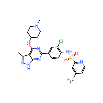 Cc1n[nH]c2nc(-c3ccc(NS(=O)(=O)c4cc(C(F)(F)F)ccn4)c(Cl)c3)nc(OC3CCN(C)CC3)c12